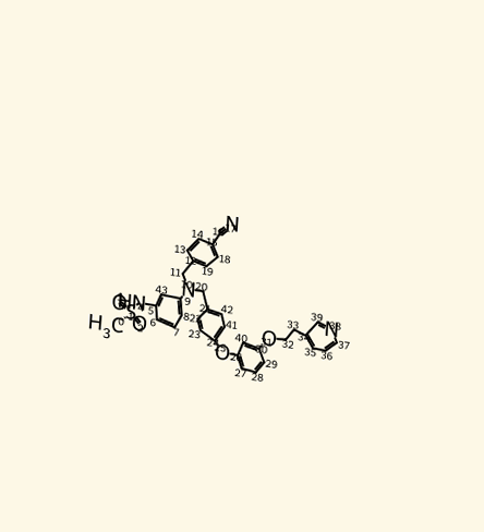 CS(=O)(=O)Nc1cccc(N(Cc2ccc(C#N)cc2)Cc2ccc(Oc3cccc(OCCc4cccnc4)c3)cc2)c1